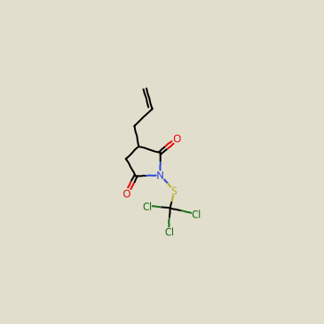 C=CCC1CC(=O)N(SC(Cl)(Cl)Cl)C1=O